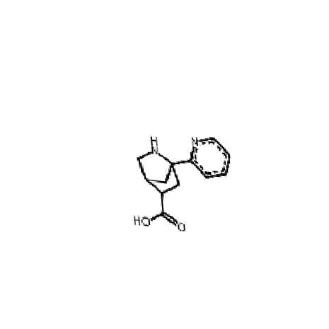 O=C(O)C1CC2(c3ccccn3)CC1CN2